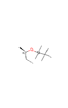 [CH2][C@H](CC)O[Si](C)(C)C(C)(C)C